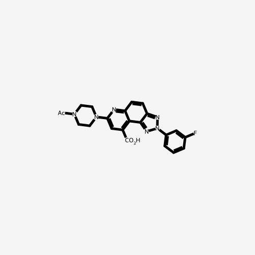 CC(=O)N1CCN(c2cc(C(=O)O)c3c(ccc4nn(-c5cccc(F)c5)nc43)n2)CC1